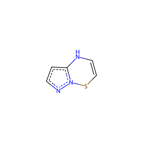 C1=CSn2nccc2N1